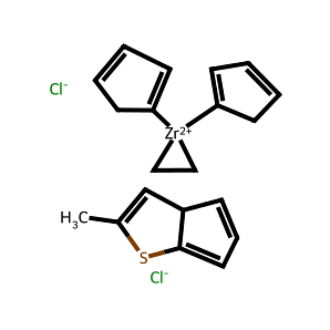 C1=CC[C]([Zr+2]2([C]3=CC=CC3)[CH2][CH2]2)=C1.CC1=CC2C=CC=C2S1.[Cl-].[Cl-]